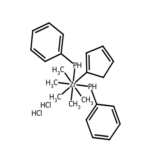 Cl.Cl.[CH3][Zr]([CH3])([CH3])([CH3])([CH3])([PH]c1ccccc1)([PH]c1ccccc1)[C]1=CC=CC1